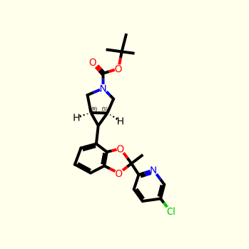 CC(C)(C)OC(=O)N1C[C@@H]2C(c3cccc4c3OC(C)(c3ccc(Cl)cn3)O4)[C@@H]2C1